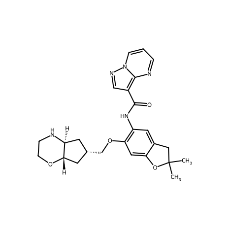 CC1(C)Cc2cc(NC(=O)c3cnn4cccnc34)c(OC[C@H]3C[C@@H]4NCCO[C@H]4C3)cc2O1